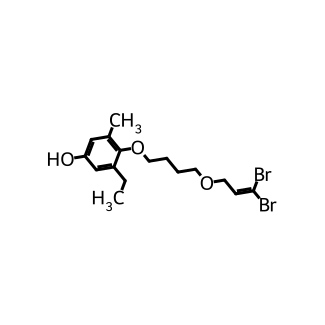 CCc1cc(O)cc(C)c1OCCCCOCC=C(Br)Br